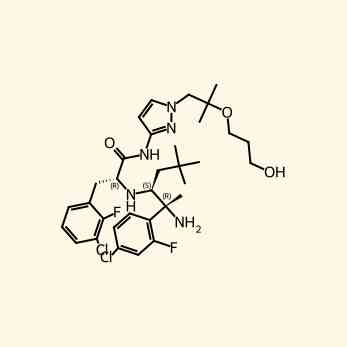 CC(C)(C)C[C@H](N[C@H](Cc1cccc(Cl)c1F)C(=O)Nc1ccn(CC(C)(C)OCCCO)n1)[C@](C)(N)c1ccc(Cl)cc1F